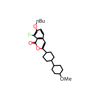 CCCCOc1ccc2cc(C3CCC(C4CCC(OC)CC4)CC3)oc(=O)c2c1F